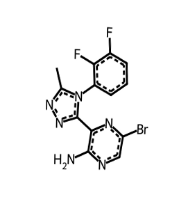 Cc1nnc(-c2nc(Br)cnc2N)n1-c1cccc(F)c1F